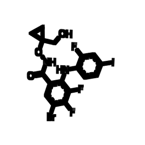 O=C(NOC1(CO)CC1)c1cc(Br)c(F)c(F)c1Nc1ccc(I)cc1F